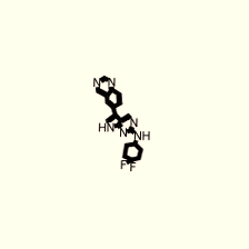 FC1(F)CCC(Nc2ncc3c(-c4ccc5ncncc5c4)c[nH]c3n2)CC1